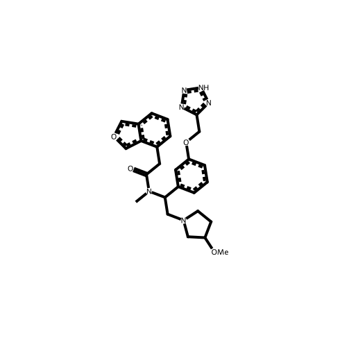 COC1CCN(CC(c2cccc(OCc3nn[nH]n3)c2)N(C)C(=O)Cc2cccc3cocc23)C1